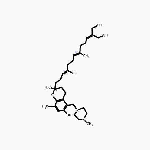 C/C(=C\CC/C(C)=C/CC[C@]1(C)CCc2c(CN3CCN(C)CC3)c(O)cc(C)c2O1)CCC=C(CO)CO